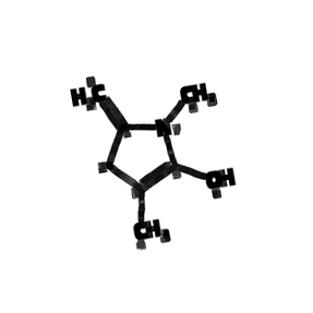 C=C1CC(C)=C(O)N1C